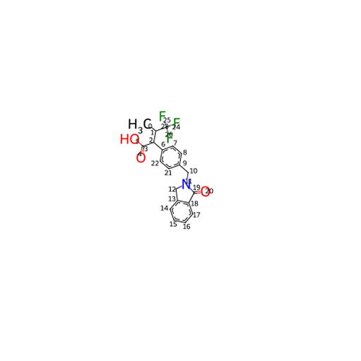 CC(C(C(=O)O)c1ccc(CN2Cc3ccccc3C2=O)cc1)C(F)(F)F